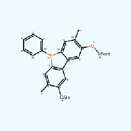 CCCCCOc1cc2c3cc(OC)c(C)cc3p(-c3ccccc3)c2cc1C